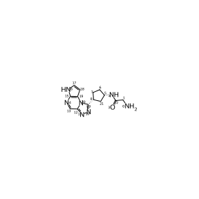 NCC(=O)N[C@H]1CC[C@@H](c2nnc3cnc4[nH]ccc4n23)C1